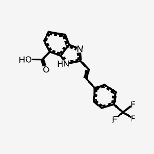 O=C(O)c1cccc2nc(C=Cc3ccc(C(F)(F)F)cc3)[nH]c12